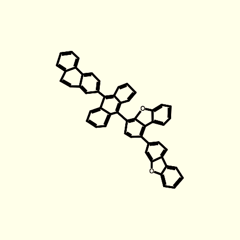 c1ccc2c(c1)ccc1cc(-c3c4ccccc4c(-c4ccc(-c5ccc6c(c5)oc5ccccc56)c5c4oc4ccccc45)c4ccccc34)ccc12